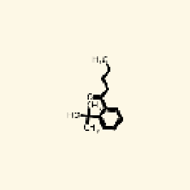 CCCCC(=O)c1ccccc1C(C)(C)O